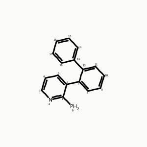 Pc1ncccc1-c1ccccc1-c1ccccc1